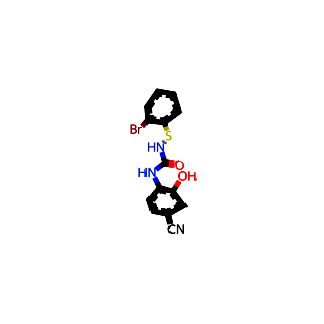 N#Cc1ccc(NC(=O)NSc2ccccc2Br)c(O)c1